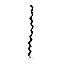 CCCCCCCCCCCCCCCCC[P]